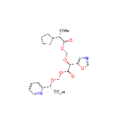 CO[C@H](C(=O)OCO[C@H](C(=O)OCO[C@H](C(=O)O)c1ccccn1)c1cnco1)C1CCCC1